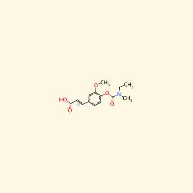 CCN(C)C(=O)Oc1ccc(/C=C/C(=O)O)cc1OC